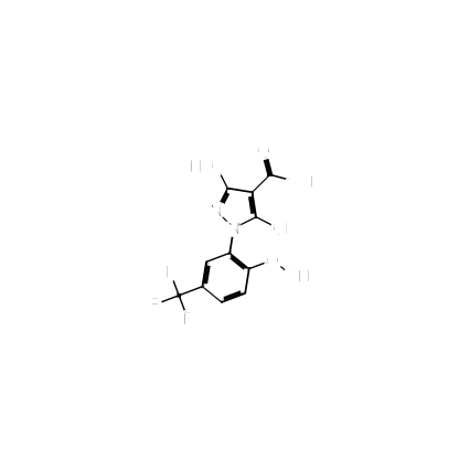 COc1ccc(C(F)(F)F)cc1-n1nc(C)c(C(=O)O)c1C